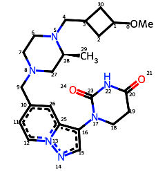 COC1CC(CN2CCN(Cc3ccn4ncc(N5CCC(=O)NC5=O)c4c3)C[C@@H]2C)C1